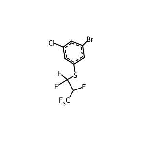 FC(C(F)(F)F)C(F)(F)Sc1cc(Cl)[c]c(Br)c1